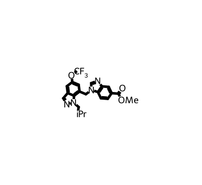 COC(=O)c1ccc2c(c1)ncn2Cc1cc(OC(F)(F)F)cc2cnn(CC(C)C)c12